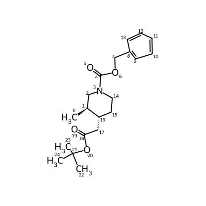 C[C@H]1CN(C(=O)OCc2ccccc2)CC[C@@H]1CC(=O)OC(C)(C)C